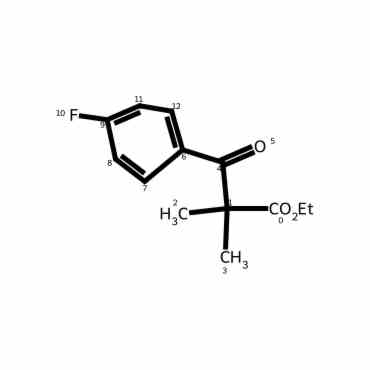 CCOC(=O)C(C)(C)C(=O)c1ccc(F)cc1